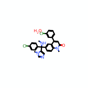 CNC(c1ccc(Cl)cc1)(c1ccc2c(c1)c(-c1cccc(Cl)c1)cc(=O)n2C)c1cncn1C.O